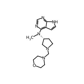 CN(c1ncnc2[nH]ccc12)[C@@H]1CCN(CN2CCOCC2)C1